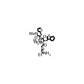 CCC(N)COCC(=O)N(C)[C@H](Cc1csc2ccccc12)C(=O)N(C)[C@H](Cc1cccs1)C(=O)NC